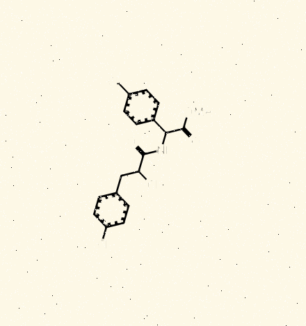 COC(=O)C(NC(=O)C(Cl)Cc1ccc(Cl)cc1)c1ccc(Cl)cc1